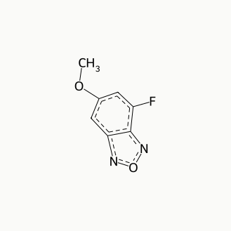 COc1cc(F)c2nonc2c1